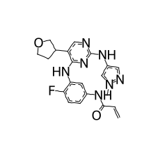 C=CC(=O)Nc1ccc(F)c(Nc2nc(Nc3cnn(C)c3)ncc2C2CCOC2)c1